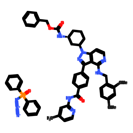 COc1ccc(CNc2nccc3c2c(-c2ccc(C(=O)Nc4cc(C(F)(F)F)ccn4)cc2)nn3[C@@H]2CCC[C@@H](NC(=O)OCc3ccccc3)C2)c(OC)c1.[N-]=[N+]=NP(=O)(c1ccccc1)c1ccccc1